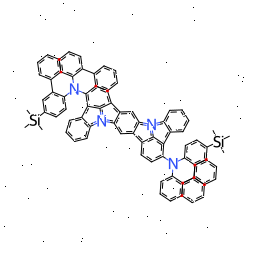 C[Si](C)(C)c1ccc(N(c2ccccc2-c2ccccc2)c2ccc3c4cc5c(cc4n4c6ccccc6c2c34)c2ccc(N(c3ccccc3-c3ccccc3)c3ccc([Si](C)(C)C)cc3-c3ccccc3)c3c4ccccc4n5c23)c(-c2ccccc2)c1